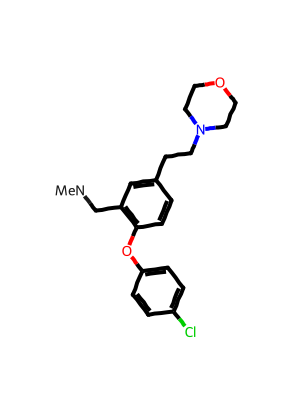 CNCc1cc(CCN2CCOCC2)ccc1Oc1ccc(Cl)cc1